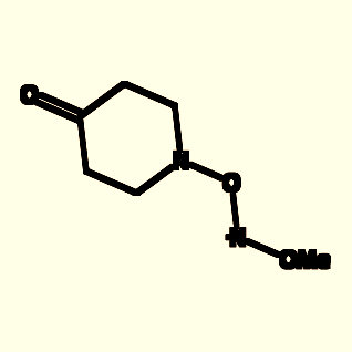 CO[N]ON1CCC(=O)CC1